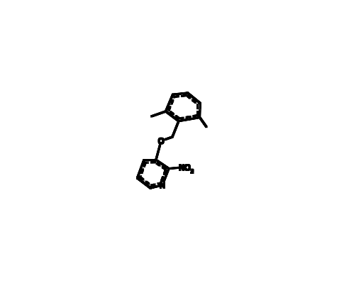 Cc1cccc(C)c1COc1cccnc1[N+](=O)[O-]